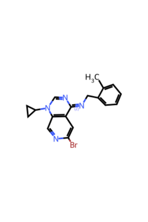 Cc1ccccc1C/N=c1\ncn(C2CC2)c2cnc(Br)cc12